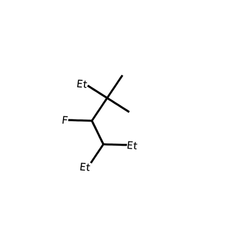 CCC(CC)C(F)C(C)(C)CC